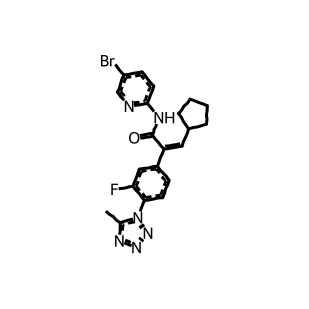 Cc1nnnn1-c1ccc(C(=CC2CCCC2)C(=O)Nc2ccc(Br)cn2)cc1F